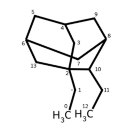 C[CH]C12CC3CC(CC(C3)C1CC)C2